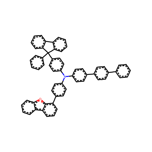 c1ccc(-c2ccc(-c3ccc(N(c4ccc(-c5cccc6c5oc5ccccc56)cc4)c4ccc(C5(c6ccccc6)c6ccccc6-c6ccccc65)cc4)cc3)cc2)cc1